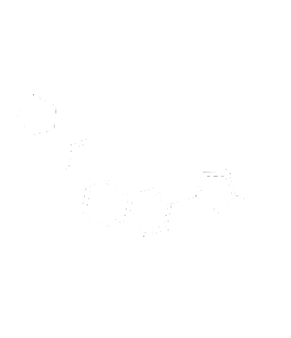 Cc1ncc(-c2cc3cc(NC(=O)[C@@H]4CCCO4)ncc3cn2)n1C